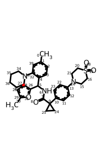 Cc1ccc(C(NC(=O)C2(c3ccc(N4CCS(=O)(=O)CC4)cc3)CC2)c2ccc(C)o2)c(N2CCCCC2)c1